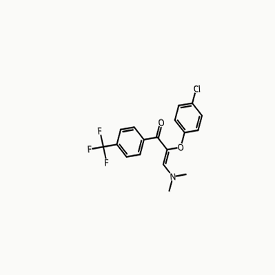 CN(C)C=C(Oc1ccc(Cl)cc1)C(=O)c1ccc(C(F)(F)F)cc1